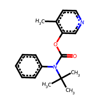 Cc1ccncc1OC(=O)N(c1ccccc1)C(C)(C)C